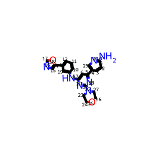 Nc1ccc(-c2cc(Nc3cccc(-c4cnco4)c3)nc(N3CCOCC3)n2)cn1